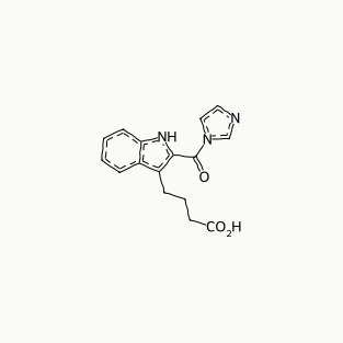 O=C(O)CCCc1c(C(=O)n2ccnc2)[nH]c2ccccc12